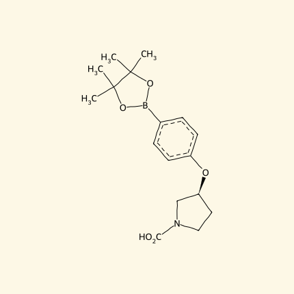 CC1(C)OB(c2ccc(O[C@H]3CCN(C(=O)O)C3)cc2)OC1(C)C